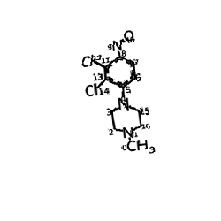 CN1CCN(c2ccc(N=O)c(Cl)c2Cl)CC1